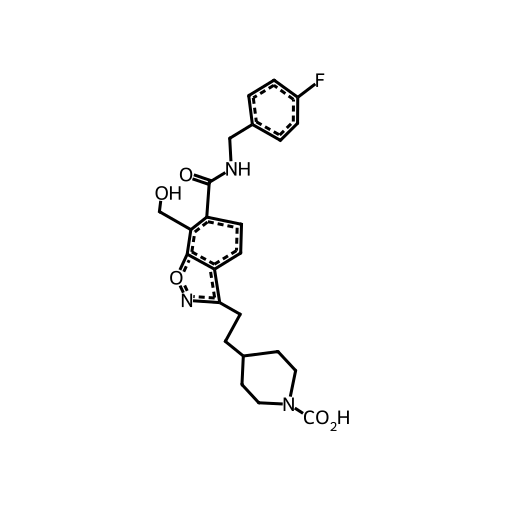 O=C(NCc1ccc(F)cc1)c1ccc2c(CCC3CCN(C(=O)O)CC3)noc2c1CO